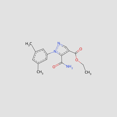 CCOC(=O)c1cnn(-c2cc(C)cc(C)c2)c1C(N)=O